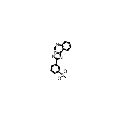 CS(=O)(=O)c1cccc(-c2nc3c4ccccc4ncn3n2)c1